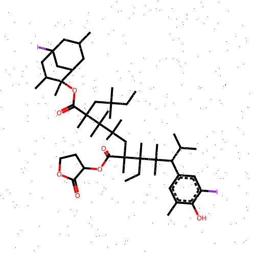 CCC(C)(C)CC(C)(C(=O)OC1(C)C(C)CC2(I)CC(C)CC1C2)C(C)(C)C(C)(C)CC(C)(C(=O)OC1CCOC1=O)C(C)(CC)C(C)(C)C(c1cc(C)c(O)c(I)c1)C(C)C